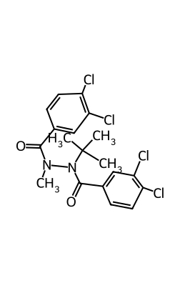 CN(C(=O)c1ccc(Cl)c(Cl)c1)N(C(=O)c1ccc(Cl)c(Cl)c1)C(C)(C)C